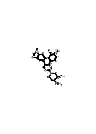 Cn1cnc2cc(-c3cnc(N4CCC(N)C(O)C4)nc3-c3ccc(C#N)c(F)c3)ccc21